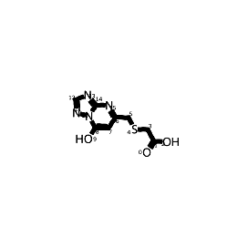 O=C(O)CSCc1cc(O)n2ncnc2n1